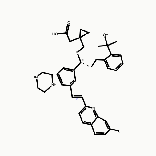 C1CNCCN1.CC(C)(O)c1ccccc1CC[C@@H](SCC1(CC(=O)O)CC1)c1cccc(/C=C/c2ccc3ccc(Cl)cc3n2)c1